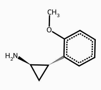 COc1ccccc1[C@@H]1C[C@H]1N